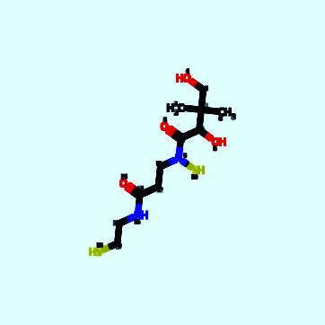 CC(C)(CO)C(O)C(=O)N(S)CCC(=O)NCCS